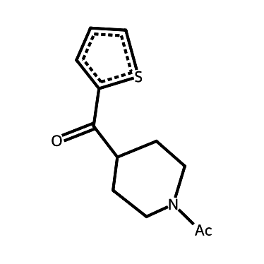 CC(=O)N1CCC(C(=O)c2cccs2)CC1